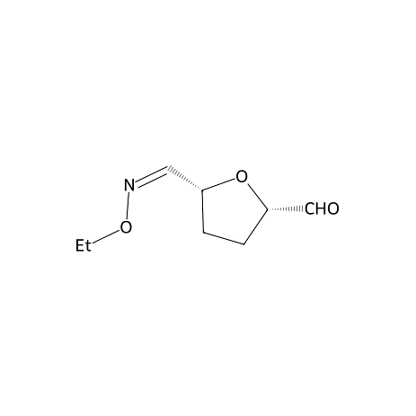 CCO/N=C\[C@H]1CC[C@@H](C=O)O1